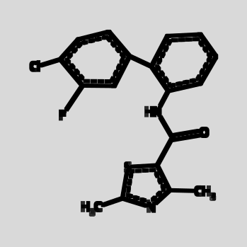 Cc1nc(C)c(C(=O)Nc2ccccc2-c2ccc(Cl)c(F)c2)s1